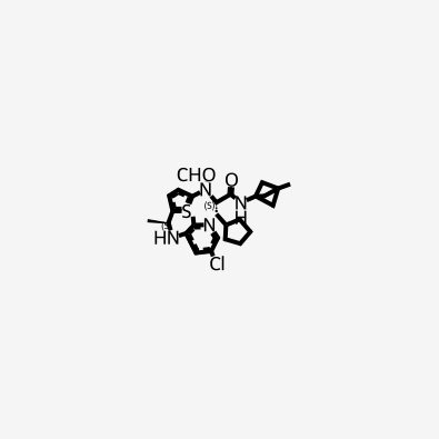 Cc1ncc(Cl)cc1N[C@@H](C)c1ccc(N(C=O)[C@@H](CC2CCCC2)C(=O)NC23CC(C)(C2)C3)s1